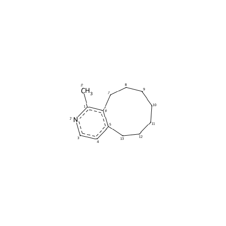 Cc1nccc2c1CCCCCCC2